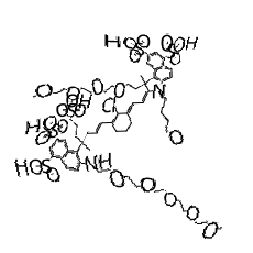 COCCOCCOCCOCCOCCNc1ccc2c(S(=O)O)cc(S(=O)(=O)O)cc2c1C(C)(C/C=C/C1=C(Cl)C(=C/C=C2/N(CCCC=O)c3ccc4c(S(=O)(=O)O)cc(S(=O)(=O)O)cc4c3C2(C)CCOCCOCCOCCOC)/CCC1)CCCS(=O)(=O)O